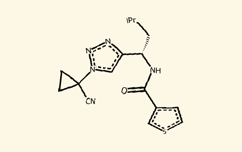 CC(C)C[C@H](NC(=O)c1ccsc1)c1cn(C2(C#N)CC2)nn1